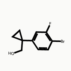 OCC1(c2ccc(Br)c(F)c2)CC1